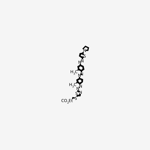 CCOC(=O)CSc1cnc(/N=N/c2ccc(/N=N/c3ccc(/N=N/c4ccc(N5CCCC5)s4)cc3C)cc2C)s1